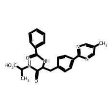 Cc1cnc(-c2ccc(CC(NC(=O)c3ccccc3)C(=O)NC(C)C(=O)O)cc2)nc1